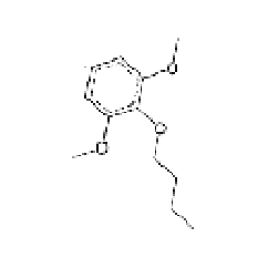 CCCCOc1c(OC)c[c]cc1OC